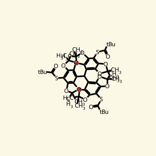 CC1(C)Oc2c(c(C(c3c4c(c(SC(=O)C(C)(C)C)c5c3OC(C)(C)O5)OC(C)(C)O4)c3c4c(c(SC(=O)C(C)(C)C)c5c3OC(C)(C)O5)OC(C)(C)O4)c3c(c2SC(=O)C(C)(C)C)OC(C)(C)O3)O1